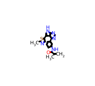 C=C(C)C(=O)Nc1cccc(-c2ncnc3[nH]cc(-c4cnc(C)s4)c23)c1